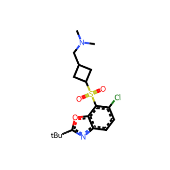 CN(C)CC1CC(S(=O)(=O)c2c(Cl)ccc3nc(C(C)(C)C)oc23)C1